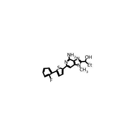 CCC(O)c1nc2c(N)nc(-c3ccc(-c4ccccc4F)s3)cc2n1C